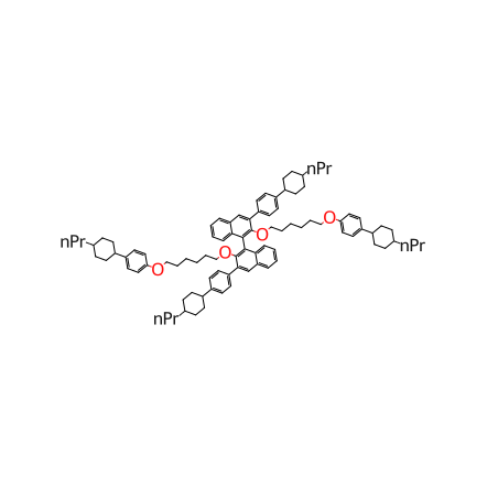 CCCC1CCC(c2ccc(OCCCCCCOc3c(-c4ccc(C5CCC(CCC)CC5)cc4)cc4ccccc4c3-c3c(OCCCCCCOc4ccc(C5CCC(CCC)CC5)cc4)c(-c4ccc(C5CCC(CCC)CC5)cc4)cc4ccccc34)cc2)CC1